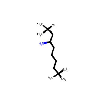 CC(C)(C)CCCCC(N)CC(C)(C)C